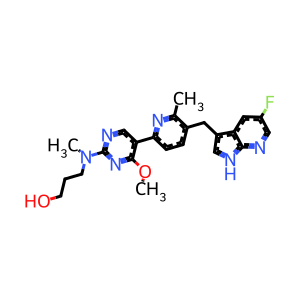 COc1nc(N(C)CCCO)ncc1-c1ccc(Cc2c[nH]c3ncc(F)cc23)c(C)n1